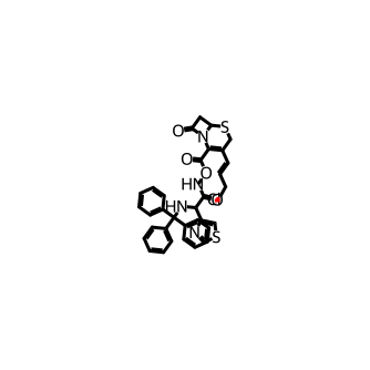 O=C(ONC(=O)C(NC(c1ccccc1)(c1ccccc1)c1ccccc1)c1cscn1)C1=C(C=CCCl)CSC2CC(=O)N12